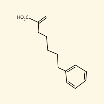 C=C(CCCCCc1ccccc1)C(=O)O